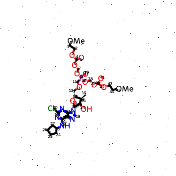 COCCOC(=O)OCOP(=O)(COC[C@H]1O[C@@H](n2cnc3c(NC4CCCC4)nc(Cl)nc32)[C@H](O)[C@@H]1C)OCOC(=O)OCCOC